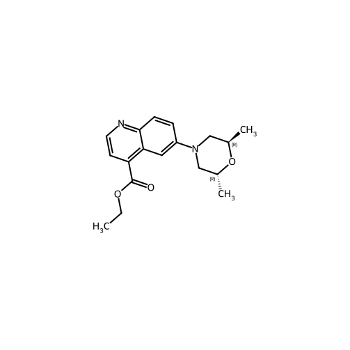 CCOC(=O)c1ccnc2ccc(N3C[C@@H](C)O[C@H](C)C3)cc12